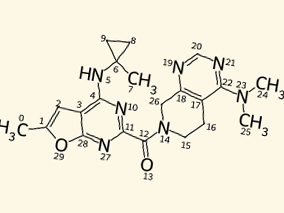 Cc1cc2c(NC3(C)CC3)nc(C(=O)N3CCc4c(ncnc4N(C)C)C3)nc2o1